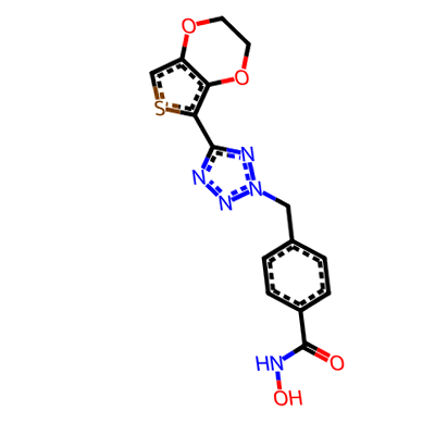 O=C(NO)c1ccc(Cn2nnc(-c3scc4c3OCCO4)n2)cc1